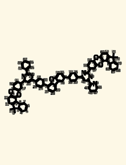 CC1(C)c2ccccc2-c2c1ccc1c2Oc2cc(-c3cc(-c4ccc(-c5cccc6c5oc5ccc(-c7ccc(-c8cc(-c9ccccn9)nc(-c9ccc%10c(c9)Oc9c(ccc%11c9-c9ccccc9C%11(C)C)O%10)n8)cc7)cc56)cc4)nc(-c4ccccc4)n3)ccc2O1